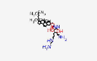 CC(C)CCCC(C)C1CCC2C3CCC4CC(OC(=O)NC(CO)C(O)C(CCCN)CCCCNCCCN)CCC4(C)C3CCC12C